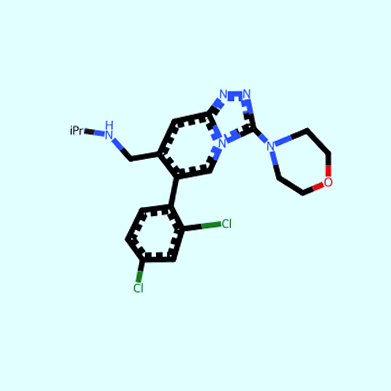 CC(C)NCc1cc2nnc(N3CCOCC3)n2cc1-c1ccc(Cl)cc1Cl